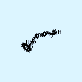 O=C(CCCc1ccc(N=Nc2ccc(CCCC(=O)N3CCNCC3)cc2)cc1)NCCC(=O)N1Cc2ccccc2C#Cc2ccccc21